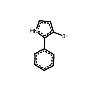 Brc1cc[nH]c1-c1ccccc1